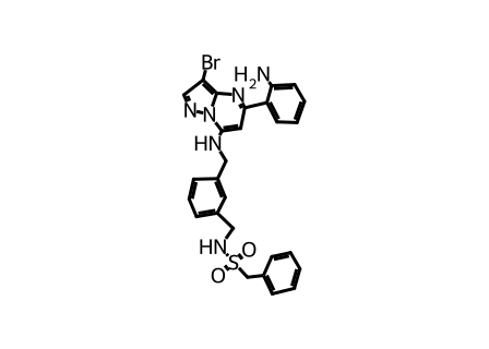 Nc1ccccc1-c1cc(NCc2cccc(CNS(=O)(=O)Cc3ccccc3)c2)n2ncc(Br)c2n1